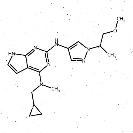 COCC(C)n1cc(Nc2nc(N(C)CC3CC3)c3cc[nH]c3n2)cn1